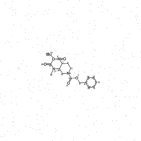 COC1CCN(C(=O)OCc2ccccc2)CC1N(C)C(=O)OC(C)(C)C